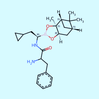 CC1(C)[C@@H]2C[C@H]3OB([C@H](CC4CC4)NC(=O)C(N)Cc4ccccc4)O[C@@]3(C)[C@H]1C2